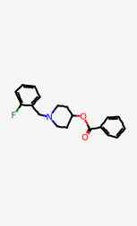 O=C(OC1CCN(Cc2ccccc2F)CC1)c1ccccc1